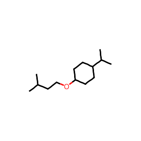 CC(C)CCOC1CCC(C(C)C)CC1